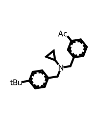 CC(=O)c1cccc(CN(Cc2ccc(C(C)(C)C)cc2)C2CC2)c1